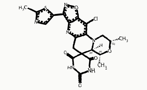 Cc1ncc(-c2noc3c(Cl)c4c(nc23)CC2(C(=O)NC(=O)NC2=O)[C@@H]2[C@@H](C)O[C@@H](C)CN42)s1